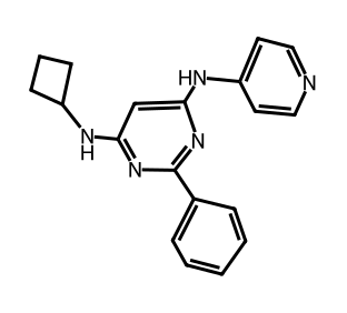 c1ccc(-c2nc(Nc3ccncc3)cc(NC3CCC3)n2)cc1